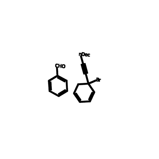 CCCCCCCCCCC#CC1(Br)C=CC=CC1.O=Cc1ccccc1